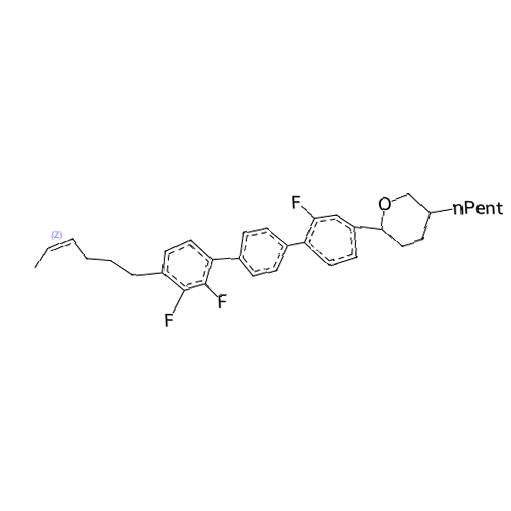 C/C=C\CCCc1ccc(-c2ccc(-c3ccc(C4CCC(CCCCC)CO4)cc3F)cc2)c(F)c1F